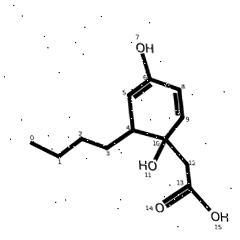 CCCCC1C=C(O)C=CC1(O)CC(=O)O